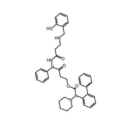 O=C(CCNCc1ccccc1O)NN(C(=O)CCOC(=O)N(c1ccccc1-c1ccccc1)N1CC[CH]CC1)c1ccccc1